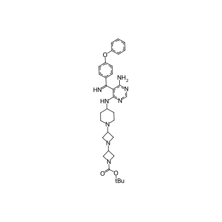 CC(C)(C)OC(=O)N1CC(N2CC(N3CCC(Nc4ncnc(N)c4C(=N)c4ccc(Oc5ccccc5)cc4)CC3)C2)C1